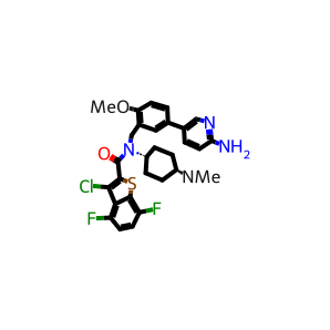 CN[C@H]1CC[C@H](N(Cc2cc(-c3ccc(N)nc3)ccc2OC)C(=O)c2sc3c(F)ccc(F)c3c2Cl)CC1